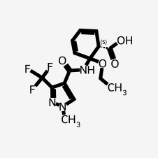 CCOC1(NC(=O)c2cn(C)nc2C(F)(F)F)C=CC=C[C@@H]1C(=O)O